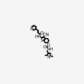 Cc1nn(C)cc1CNC(=O)OC1CCc2c(sc(NC(=O)C=Cc3cccnc3)c2C#N)C1